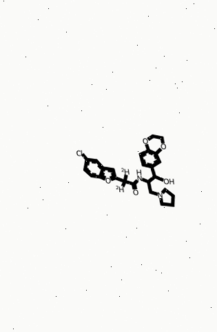 [2H]C([2H])(C(=O)NC(CN1CCCC1)C(O)c1ccc2c(c1)OCCO2)c1cc2cc(Cl)ccc2o1